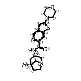 O=C(N[C@@H]1C[C@H]2CCN(C2)C1)c1cc2sc(N3CCOCC3)cc2cn1